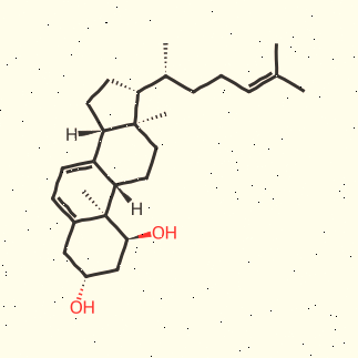 CC(C)=CCC[C@@H](C)[C@H]1CC[C@H]2C3=CC=C4C[C@@H](O)C[C@H](O)[C@]4(C)[C@H]3CC[C@]12C